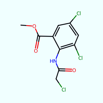 COC(=O)c1cc(Cl)cc(Cl)c1NC(=O)CCl